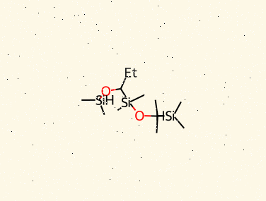 CCC(O[SiH](C)C)[Si](C)(C)OC(C)(C)[SiH](C)C